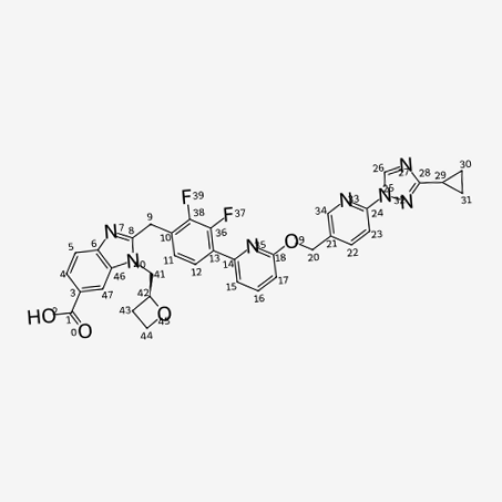 O=C(O)c1ccc2nc(Cc3ccc(-c4cccc(OCc5ccc(-n6cnc(C7CC7)n6)nc5)n4)c(F)c3F)n(C[C@@H]3CCO3)c2c1